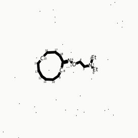 CCN(CC)CCON=C1CCCCCCCCCCC1